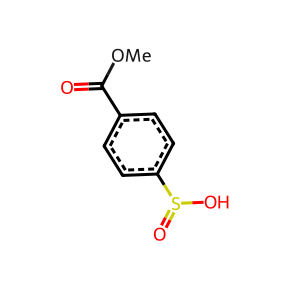 COC(=O)c1ccc(S(=O)O)cc1